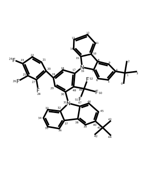 CC(C)(C)c1ccc2c(c1)c1ccccc1n2-c1cc(-c2ccc(F)c(F)c2F)cc(-n2c3ccccc3c3cc(C(C)(C)C)ccc32)c1C(F)(F)F